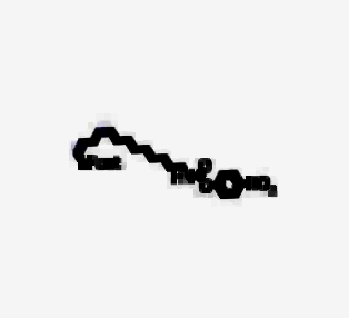 CCCCC/C=C\C/C=C\CCCCCCCCNC(=O)Oc1ccc([N+](=O)[O-])cc1